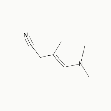 C/C(=C\N(C)C)CC#N